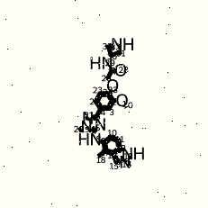 COc1cc(-c2nc(Nc3ccc4[nH]ncc4c3C)n(C)n2)ccc1OCC(=O)NC1CNC1